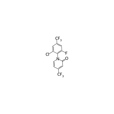 O=c1cc(C(F)(F)F)ccn1-c1c(F)cc(C(F)(F)F)cc1Cl